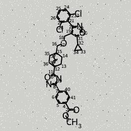 COC(=O)c1ccc(-c2noc(C34CCC(COCc5c(-c6c(Cl)cccc6Cl)noc5C5CC5)(CC3)CC4)n2)cc1